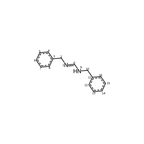 C(=N\Cc1ccccc1)/NCc1ccccc1